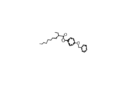 CCCCCCCCC(CC)C(=O)Oc1ccc(OCc2ccccc2)cc1